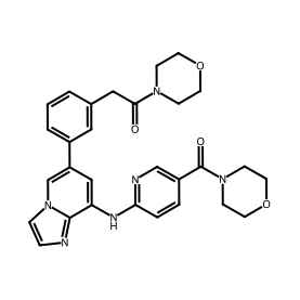 O=C(Cc1cccc(-c2cc(Nc3ccc(C(=O)N4CCOCC4)cn3)c3nccn3c2)c1)N1CCOCC1